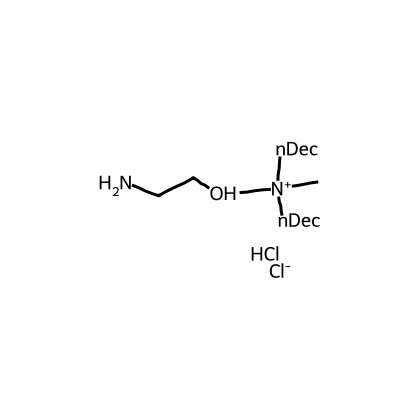 CCCCCCCCCC[N+](C)(C)CCCCCCCCCC.Cl.NCCO.[Cl-]